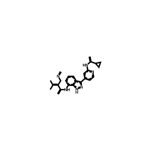 C=NCC(C(=C)Nc1cccc2c(-c3ccnc(NC(=C)C4CC4)c3)n[nH]c12)=C(C)C